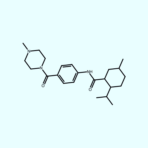 CC1CCC(C(C)C)C(C(=O)Nc2ccc(C(=O)N3CCN(C)CC3)cc2)C1